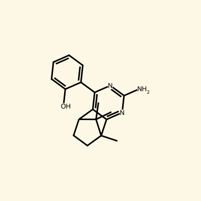 CC12CCC(c3c(-c4ccccc4O)nc(N)nc31)C2(C)C